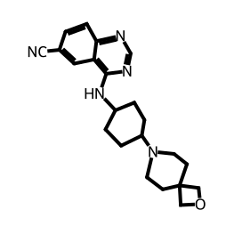 N#Cc1ccc2ncnc(NC3CCC(N4CCC5(CC4)COC5)CC3)c2c1